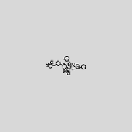 Cn1c(=O)n(-c2ccc(OCc3ccccc3)nc2OCc2ccccc2)c2ccc(-c3cccc(CC(=O)OC(C)(C)C)c3)cc21